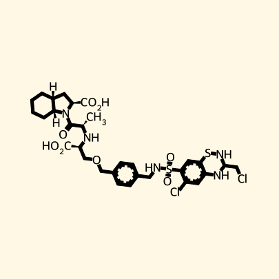 C[C@H](N[C@@H](COCc1ccc(CNS(=O)(=O)c2cc3c(cc2Cl)NC(CCl)NS3)cc1)C(=O)O)C(=O)N1[C@@H]2CCCC[C@@H]2C[C@H]1C(=O)O